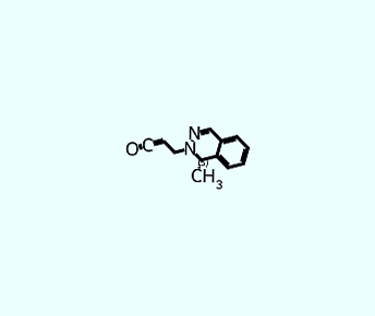 C[C@H]1c2ccccc2C=NN1CC=C=O